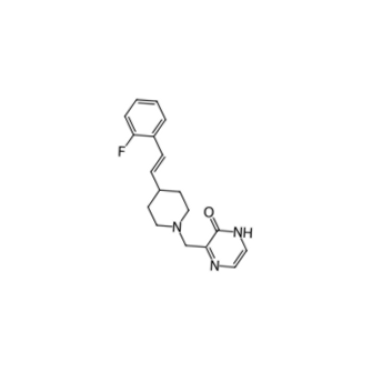 O=c1[nH]ccnc1CN1CCC(C=Cc2ccccc2F)CC1